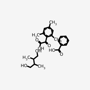 CC(CO)C(C)CO.Cc1cc(C)c(C(=O)C(=O)O)c(C)c1.O=C(O)c1ccccc1